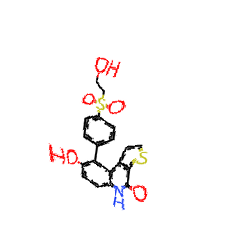 O=c1[nH]c2ccc(O)c(-c3ccc(S(=O)(=O)CCO)cc3)c2c2ccsc12